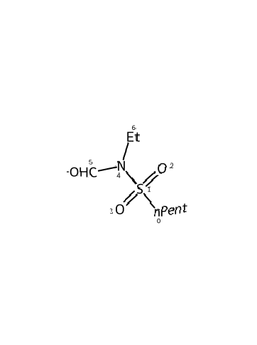 CCCCCS(=O)(=O)N([C]=O)CC